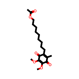 COC1=C(OC)C(=O)C(CCCCCCCCCOC(C)=O)=C(C)C1=O